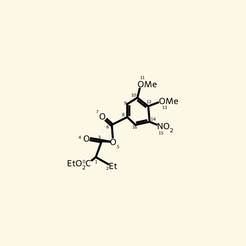 CCOC(=O)C(CC)C(=O)OC(=O)c1cc(OC)c(OC)c([N+](=O)[O-])c1